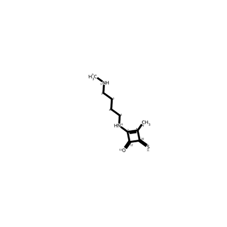 CNCCCCNc1c(C)c(=S)c1=O